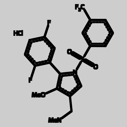 CNCc1cn(S(=O)(=O)c2cccc(C(F)(F)F)c2)c(-c2cc(F)ccc2F)c1OC.Cl